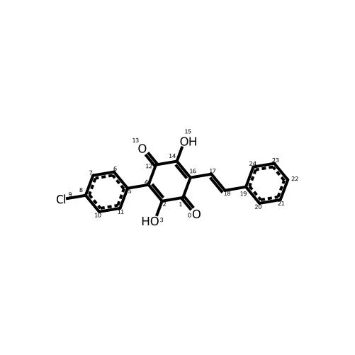 O=C1C(O)=C(c2ccc(Cl)cc2)C(=O)C(O)=C1/C=C/c1ccccc1